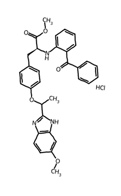 COC(=O)[C@H](Cc1ccc(OC(C)c2nc3ccc(OC)cc3[nH]2)cc1)Nc1ccccc1C(=O)c1ccccc1.Cl